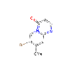 COc1cc2nccc(=O)n2cc1Br